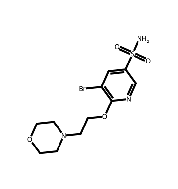 NS(=O)(=O)c1cnc(OCCN2CCOCC2)c(Br)c1